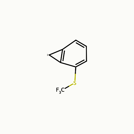 FC(F)(F)Sc1cccc2c1[C]2